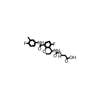 Cc1cc(NC(=O)c2ccc(F)c3c2OCC[C@@H]3NC(=O)NCCC(=O)O)ccc1F